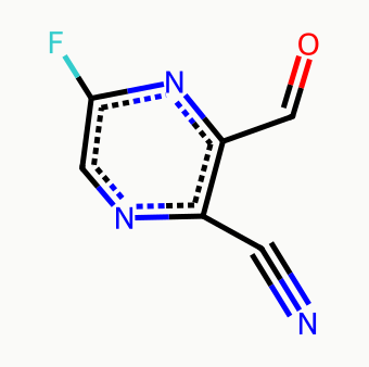 N#Cc1ncc(F)nc1C=O